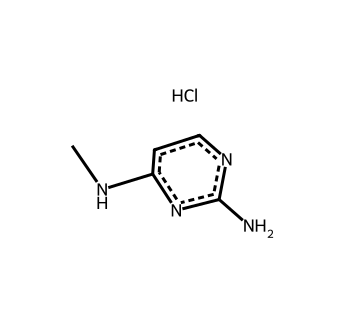 CNc1ccnc(N)n1.Cl